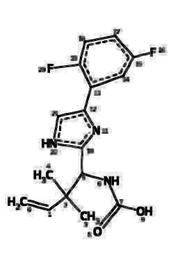 C=CC(C)(C)C(NC(=O)O)c1nc(-c2cc(F)ccc2F)c[nH]1